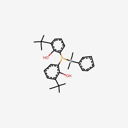 CC(C)(C)c1cccc(P(c2cccc(C(C)(C)C)c2O)[Si](C)(C)c2ccccc2)c1O